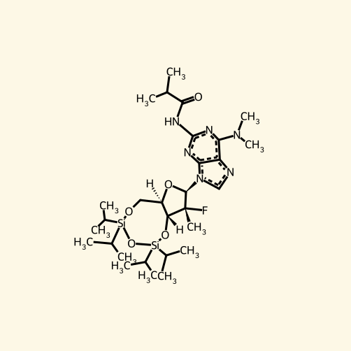 CC(C)C(=O)Nc1nc(N(C)C)c2ncn([C@@H]3O[C@@H]4CO[Si](C(C)C)(C(C)C)O[Si](C(C)C)(C(C)C)O[C@H]4[C@@]3(C)F)c2n1